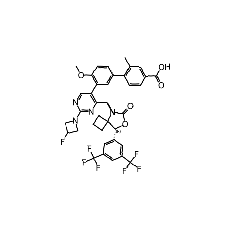 COc1ccc(-c2ccc(C(=O)O)cc2C)cc1-c1cnc(N2CC(F)C2)nc1CN1C(=O)O[C@H](c2cc(C(F)(F)F)cc(C(F)(F)F)c2)C12CCC2